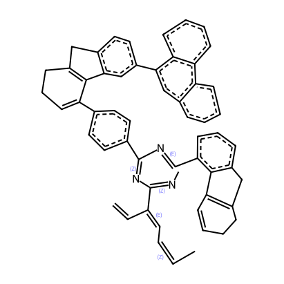 C=CC(=C\C=C/C)/C(=N/C)/N=C(\N=C\c1cccc2c1C1=C(CCC=C1)C2)c1ccc(C2=CCCC3=C2c2cc(-c4cc5ccccc5c5ccccc45)ccc2C3)cc1